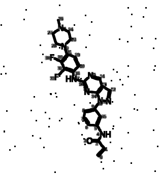 C=CC(=O)Nc1cccc(-n2ncc3cnc(Nc4ccc(N5CCN(C)CC5)c(F)c4F)nc32)c1